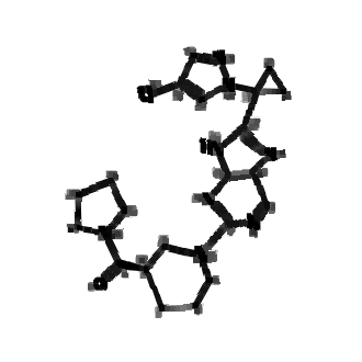 O=C([C@@H]1CCCN(c2ncc3nc(C4(n5cc(Cl)cn5)CC4)[nH]c3n2)C1)N1CCCC1